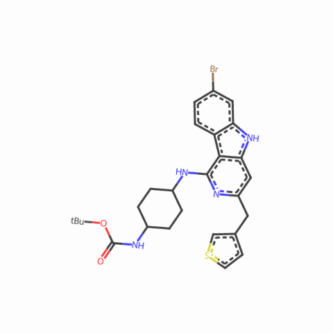 CC(C)(C)OC(=O)NC1CCC(Nc2nc(Cc3ccsc3)cc3[nH]c4cc(Br)ccc4c23)CC1